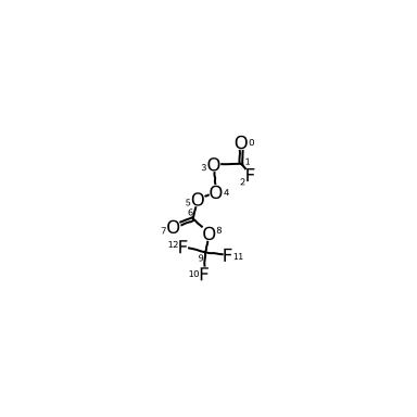 O=C(F)OOOC(=O)OC(F)(F)F